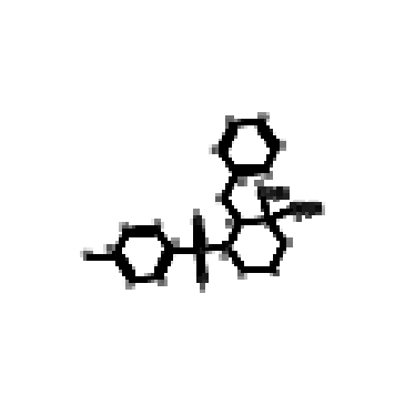 CCOC(=O)C1(C(=O)OCC)CCCN(S(=O)(=O)c2ccc(C)cc2)C1Cc1ccccc1